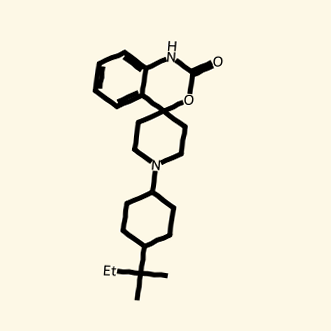 CCC(C)(C)C1CCC(N2CCC3(CC2)OC(=O)Nc2ccccc23)CC1